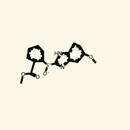 COC(=O)c1ccccc1[S+]([O-])c1nc2cc(OC)ccc2[nH]1